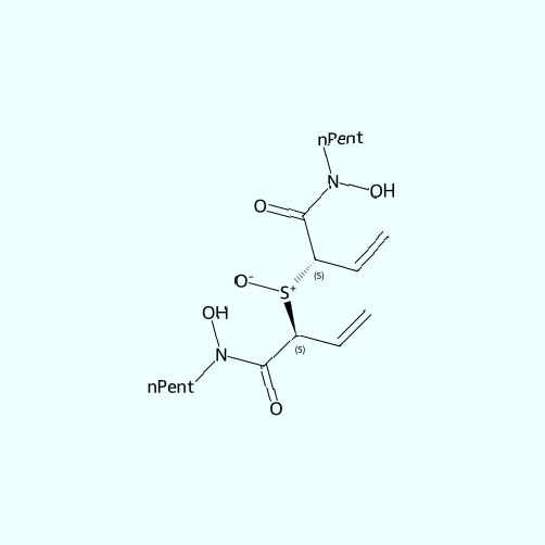 C=C[C@@H](C(=O)N(O)CCCCC)[S+]([O-])[C@@H](C=C)C(=O)N(O)CCCCC